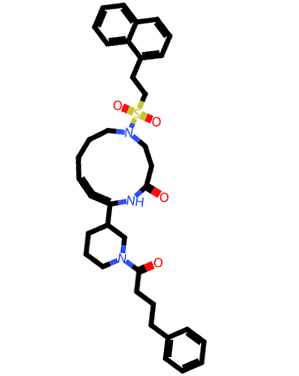 O=C1CCN(S(=O)(=O)CCc2cccc3ccccc23)CCCC=C=C(C2CCCN(C(=O)CCCc3ccccc3)C2)N1